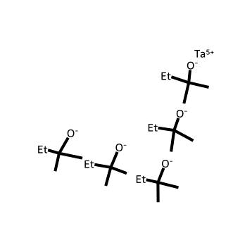 CCC(C)(C)[O-].CCC(C)(C)[O-].CCC(C)(C)[O-].CCC(C)(C)[O-].CCC(C)(C)[O-].[Ta+5]